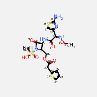 CO/N=C(\C(=O)NC1C(=O)N(S(=O)(=O)O)C1COC(=O)Cc1cccs1)c1csc(N)n1.[NaH]